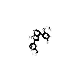 COc1ccc(F)cc1-c1ccnc2[nH]c(C3=CCNC(CO)C3)cc12